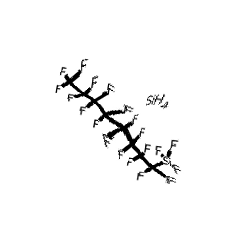 FC(F)(F)C(F)(F)C(F)(F)C(F)(F)C(F)(F)C(F)(F)C(F)(F)C(F)(F)[Si](F)(F)F.[SiH4]